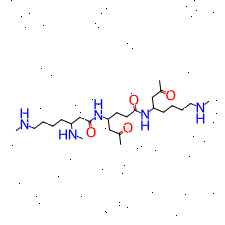 CNCCCCC(CC(=O)NC(CCC(=O)NC(CCCCNC)CC(C)=O)CC(C)=O)NC